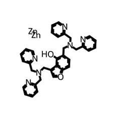 Oc1c(CN(Cc2ccccn2)Cc2ccccn2)ccc2occ(CN(Cc3ccccn3)Cc3ccccn3)c12.[Zn].[Zn]